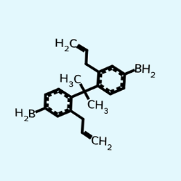 Bc1ccc(C(C)(C)c2ccc(B)cc2CC=C)c(CC=C)c1